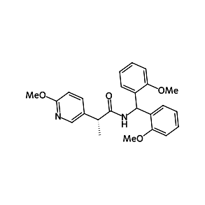 COc1ccc([C@@H](C)C(=O)NC(c2ccccc2OC)c2ccccc2OC)cn1